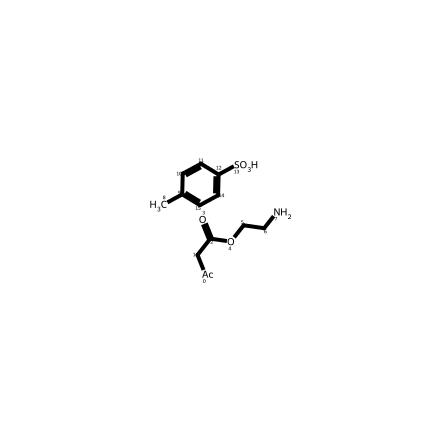 CC(=O)CC(=O)OCCN.Cc1ccc(S(=O)(=O)O)cc1